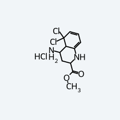 COC(=O)C1CC(N)C2C(=CC=CC2(Cl)Cl)N1.Cl